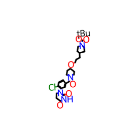 CC(C)(C)OC(=O)N1CCC(CCCOC2CCN(C(=O)c3ccc(Cl)c(N4CCC(=O)NC4=O)c3)CC2)CC1